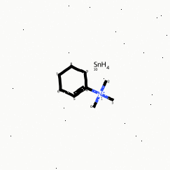 C[N+](C)(C)C1=CCCCC1.[SnH4]